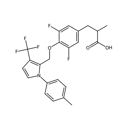 Cc1ccc(-n2ccc(C(F)(F)F)c2COc2c(F)cc(CC(C)C(=O)O)cc2F)cc1